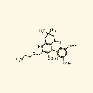 CCOC(=O)C1=C(COCCN)NC2=C(C(=O)CC(C)(C)C2)C1c1cc(OC)cc(OC)c1